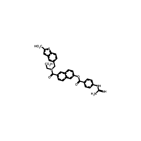 N=C(N)Nc1ccc(C(=O)Oc2ccc3cc(C(=O)N(CC(=O)O)Cc4ccc5sc(C(=O)O)cc5c4)ccc3c2)cc1